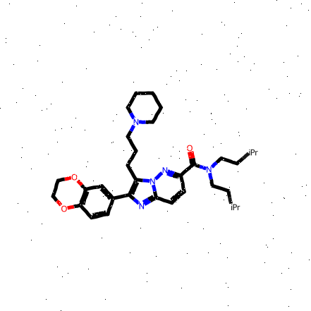 CC(C)CCN(CCC(C)C)C(=O)c1ccc2nc(-c3ccc4c(c3)OCCO4)c(CCCN3CCCCC3)n2n1